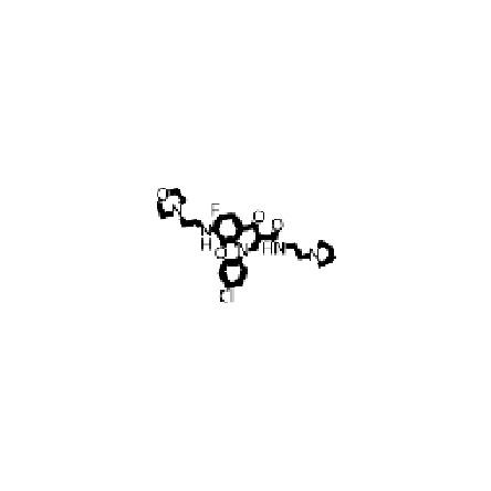 O=C(NCCN1CCCC1)c1cn2c3c(c(NCCN4CCOCC4)c(F)cc3c1=O)Oc1cc(Cl)ccc1-2